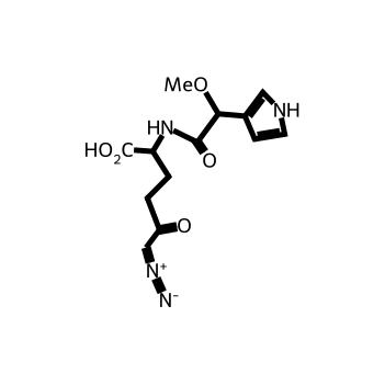 COC(C(=O)NC(CCC(=O)C=[N+]=[N-])C(=O)O)c1cc[nH]c1